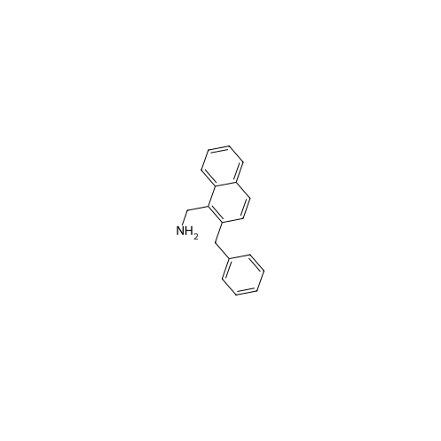 NCc1c(Cc2ccccc2)ccc2ccccc12